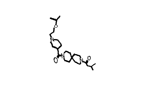 CC(C)CC(=O)N1CCC2(CC1)CCN(C(=O)C1CCN(CCCOC(C)C)CC1)CC2